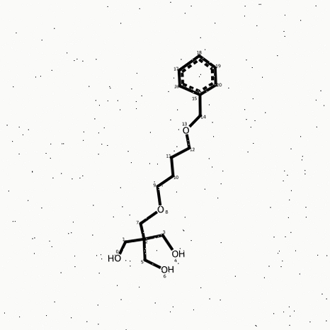 OCC(CO)(CO)COCCCCOCc1ccccc1